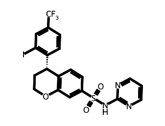 O=S(=O)(Nc1ncccn1)c1ccc2c(c1)OCC[C@@H]2c1ccc(C(F)(F)F)cc1I